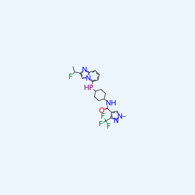 CC(F)c1cn2c(PC3CCC(NC(=O)c4cn(C)nc4C(F)(F)F)CC3)cccc2n1